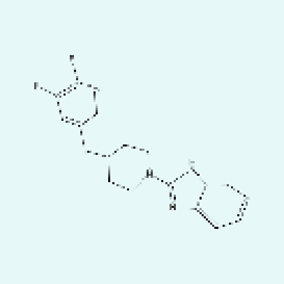 Fc1ccc(CC2CCN(c3nc4ccccc4[nH]3)CC2)cc1F